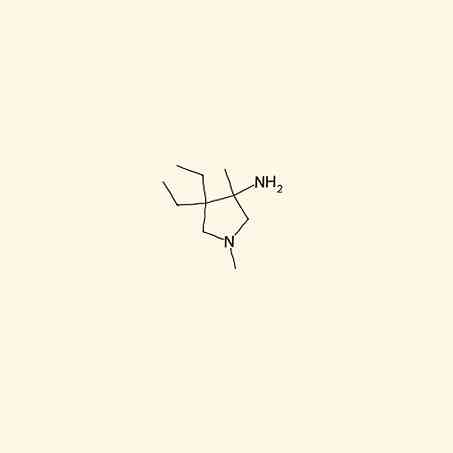 CCC1(CC)CN(C)CC1(C)N